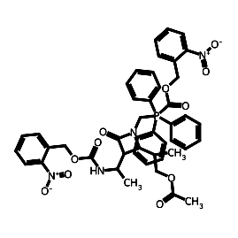 CC(=O)OCC(C)C1C(C(C)NC(=O)OCc2ccccc2[N+](=O)[O-])C(=O)N1CP(C(=O)OCc1ccccc1[N+](=O)[O-])(c1ccccc1)(c1ccccc1)c1ccccc1